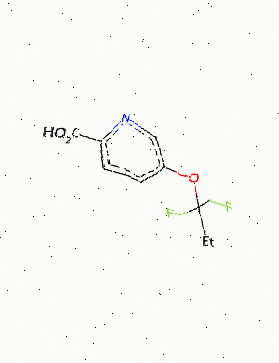 CCC(F)(F)Oc1ccc(C(=O)O)nc1